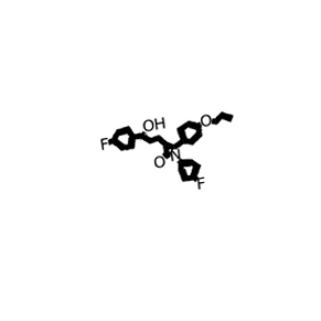 C=CCOc1ccc(C2C(CC[C@H](O)c3ccc(F)cc3)C(=O)N2c2ccc(F)cc2)cc1